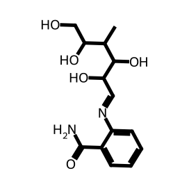 CC(C(O)CO)C(O)C(O)/C=N/c1ccccc1C(N)=O